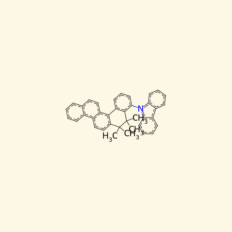 CC1(C)c2ccc3c(ccc4ccccc43)c2-c2cccc(-n3c4ccccc4c4ccccc43)c2C1(C)C